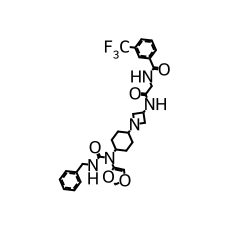 O=C(CNC(=O)c1cccc(C(F)(F)F)c1)NC1CN(C2CCC(N(C(=O)NCc3ccccc3)C3=COCO3)CC2)C1